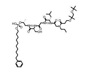 CCCN(CC(=O)N[C@@H](CC(C)C)C(=O)NCC(=O)N[C@@H](CO)C(=O)NC[C@@H](C)OP(=O)(O)OCCCCCCCCCCc1ccccc1)C(=O)CCOC(C)(C)COC(C)(C)C